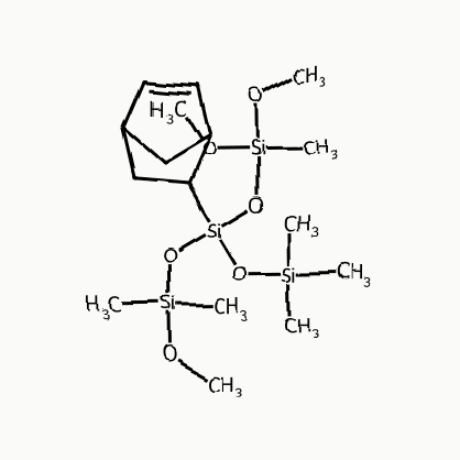 CO[Si](C)(C)O[Si](O[Si](C)(C)C)(O[Si](C)(OC)OC)C1CC2C=CC1C2